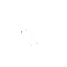 Cc1sc2c(sc3cc(I)sc32)c1N